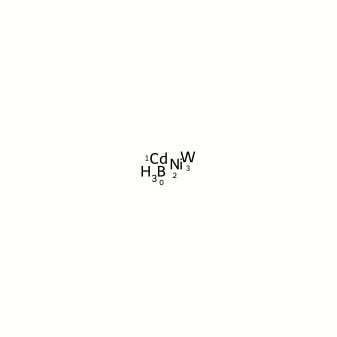 B.[Cd].[Ni].[W]